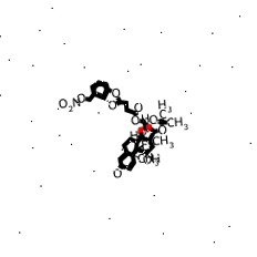 CC1(C)O[C@@H]2C[C@H]3C4CCC5=CC(=O)C=C[C@]5(C)[C@@]4(F)[C@@H](O)C[C@]3(C)[C@]2(C(=O)COC(=O)CCC(=O)Oc2cccc(CO[N+](=O)[O-])c2)O1